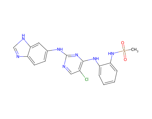 CS(=O)(=O)Nc1ccccc1Nc1nc(Nc2ccc3nc[nH]c3c2)ncc1Cl